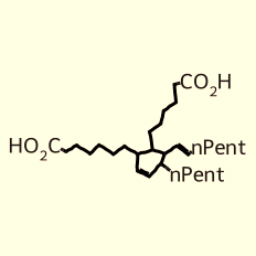 CCCCC/C=C/C1C(CCCCC)C=CC(CCCCCCC(=O)O)C1CCCCCC(=O)O